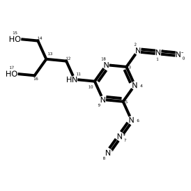 [N-]=[N+]=Nc1nc(N=[N+]=[N-])nc(NCC(CO)CO)n1